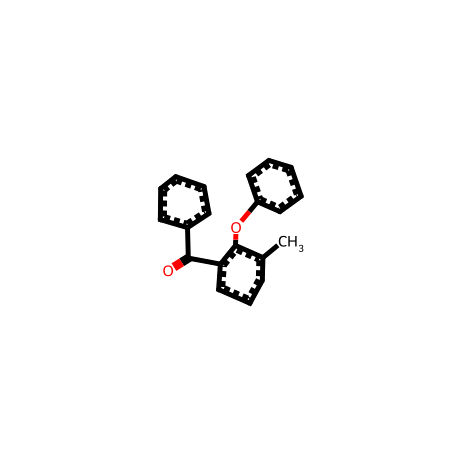 Cc1cccc(C(=O)c2ccccc2)c1Oc1ccccc1